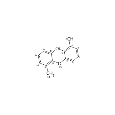 Cc1cccc2c1Oc1cccc(C)c1O2